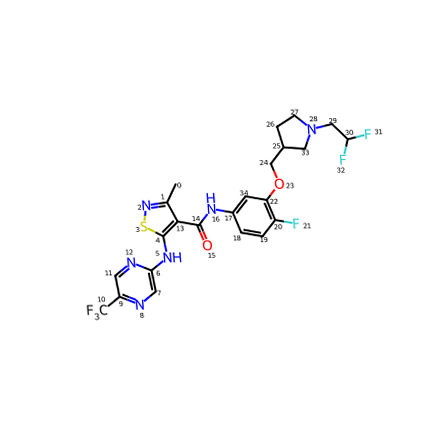 Cc1nsc(Nc2cnc(C(F)(F)F)cn2)c1C(=O)Nc1ccc(F)c(OCC2CCN(CC(F)F)C2)c1